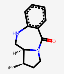 CC(C)[C@@H]1CCN2C(=O)c3ccccc3NC[C@H]12